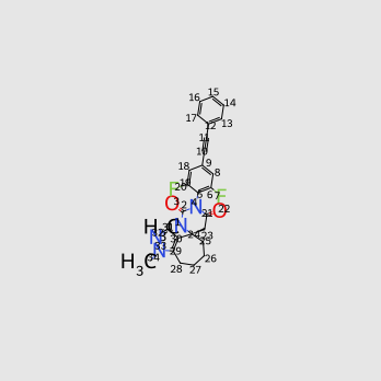 CN1C(=O)N(c2c(F)cc(C#Cc3ccccc3)cc2F)C(=O)C[C@]12CCCCc1c2cnn1C